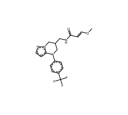 CO/C=C/C(=O)NCC1CN(c2ccc(C(F)(F)F)cc2)c2ccnn2C1